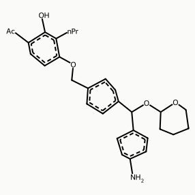 CCCc1c(OCc2ccc(C(OC3CCCCO3)c3ccc(N)cc3)cc2)ccc(C(C)=O)c1O